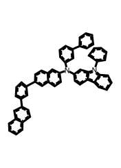 c1ccc(-c2cccc(N(c3ccc4cc(-c5cccc(-c6ccc7ccccc7c6)c5)ccc4c3)c3ccc4c5ccccc5n(-c5ccccc5)c4c3)c2)cc1